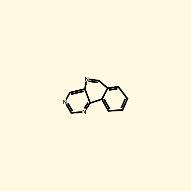 c1ccc2c(c1)cnc1cncnc12